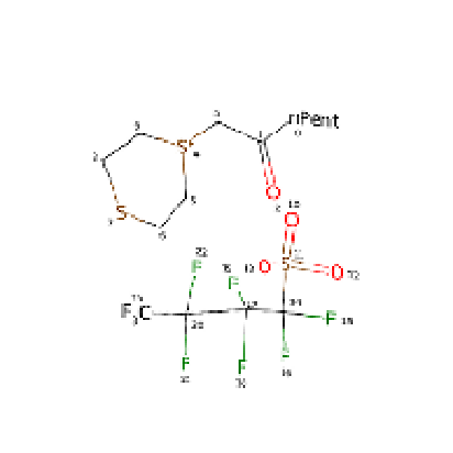 CCCCCC(=O)C[S+]1CCSCC1.O=S(=O)([O-])C(F)(F)C(F)(F)C(F)(F)C(F)(F)F